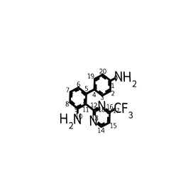 Nc1ccc(-c2cccc(N)c2-c2nccc(C(F)(F)F)n2)cc1